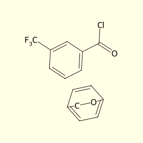 O=C(Cl)c1cccc(C(F)(F)F)c1.c1cc2ccc1CO2